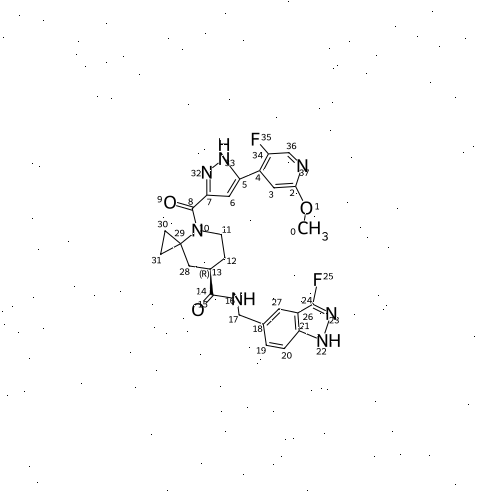 COc1cc(-c2cc(C(=O)N3CC[C@@H](C(=O)NCc4ccc5[nH]nc(F)c5c4)CC34CC4)n[nH]2)c(F)cn1